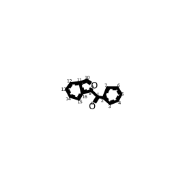 O=C(c1ccccc1)c1occ2ccccc12